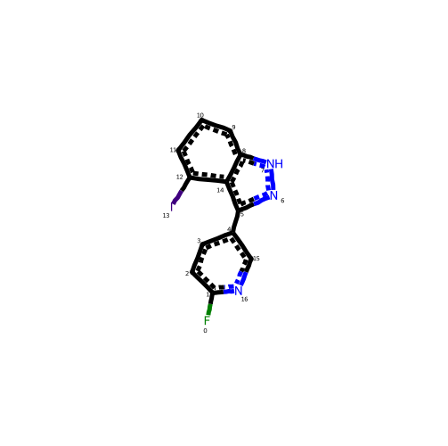 Fc1ccc(-c2n[nH]c3cccc(I)c23)cn1